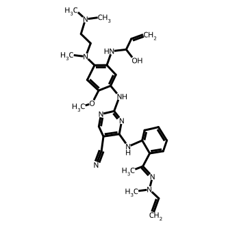 C=CC(O)Nc1cc(Nc2ncc(C#N)c(Nc3ccccc3/C(C)=N/N(C)C=C)n2)c(OC)cc1N(C)CCN(C)C